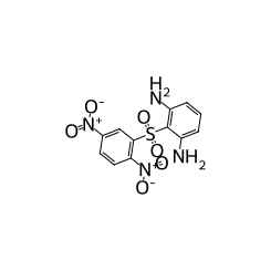 Nc1cccc(N)c1S(=O)(=O)c1cc([N+](=O)[O-])ccc1[N+](=O)[O-]